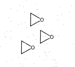 C1CO1.C1CO1.C1CO1